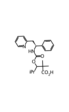 CC(C)C(OC(=O)N[C@@H](Cc1ccccn1)c1ccccc1)C(C)(C)C(=O)O